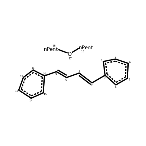 C(/C=C/c1ccccc1)=C\c1ccccc1.CCCCCOCCCCC